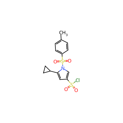 Cc1ccc(S(=O)(=O)n2cc(S(=O)(=O)Cl)cc2C2CC2)cc1